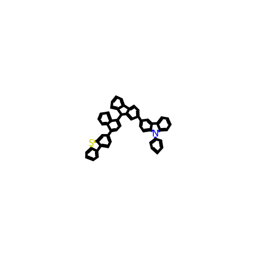 c1ccc(-n2c3ccccc3c3cc(-c4ccc5c(c4)C(c4ccc(-c6ccc7c(c6)sc6ccccc67)c6ccccc46)c4ccccc4-5)ccc32)cc1